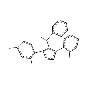 OC(c1cccnc1)c1c(-c2ccccc2Cl)csc1-c1ccc(F)cc1F